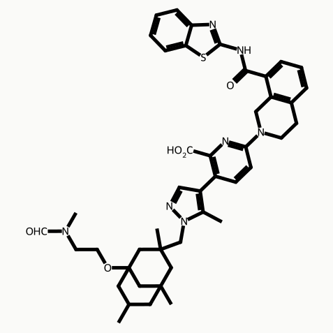 Cc1c(-c2ccc(N3CCc4cccc(C(=O)Nc5nc6ccccc6s5)c4C3)nc2C(=O)O)cnn1CC1(C)CC2(C)CC(C)CC(OCCN(C)C=O)(C2)C1